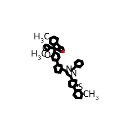 CC1C=CC2=C(C1)C1(C3=CC=CCC3(C)Oc3cc(-c4cccc(-c5cc(-c6ccc7c8c(sc7c6)C(C)CC=C8)nc(-c6ccccc6)n5)c4)ccc31)c1ccccc12